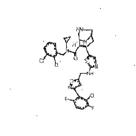 O=C(C1=C(c2cnc(NCc3cc(-c4c(F)ccc(F)c4Cl)no3)s2)CC2CNC[C@H]1N2)N(Cc1cccc(Cl)c1Cl)C1CC1